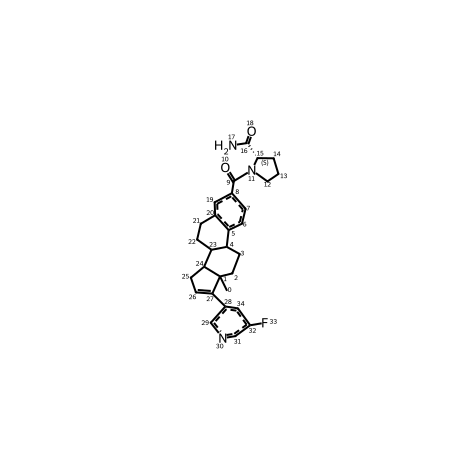 CC12CCC3c4ccc(C(=O)N5CCC[C@H]5C(N)=O)cc4CCC3C1CC=C2c1cncc(F)c1